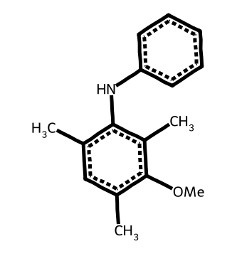 COc1c(C)cc(C)c(Nc2ccccc2)c1C